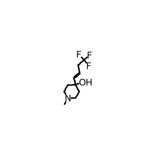 CN1CCC(O)(/C=C/CC(F)(F)F)CC1